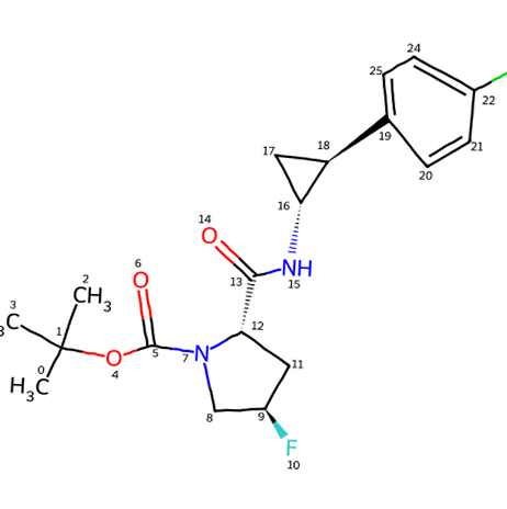 CC(C)(C)OC(=O)N1C[C@H](F)C[C@H]1C(=O)N[C@@H]1C[C@H]1c1ccc(Cl)cc1